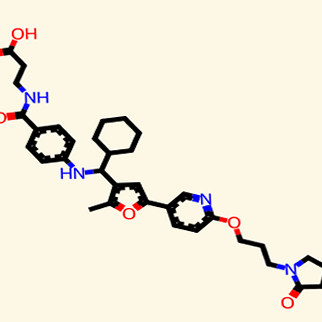 Cc1oc(-c2ccc(OCCCN3CCCC3=O)nc2)cc1C(Nc1ccc(C(=O)NCCC(=O)O)cc1)C1CCCCC1